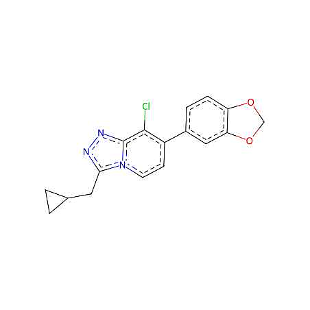 Clc1c(-c2ccc3c(c2)OCO3)ccn2c(CC3CC3)nnc12